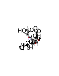 C=C1C[C@]2(C)[C@H]3[C@H](O)[C@@H](C)[C@@H](OC(=O)c4ccc[nH]4)[C@@H]2O[C@]32/C(C)=C/[C@@H](C)[C@@H]([C@@H](C)O)OC(=O)[C@@H](OC)C[C@@H]12